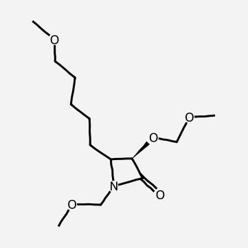 COCCCCCC1[C@@H](OCOC)C(=O)N1COC